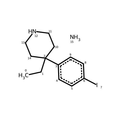 CCC1(c2ccc(I)cc2)CCNCC1.N